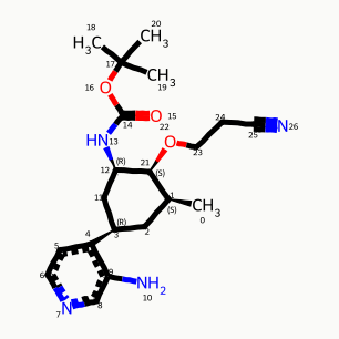 C[C@H]1C[C@@H](c2ccncc2N)C[C@@H](NC(=O)OC(C)(C)C)[C@H]1OCCC#N